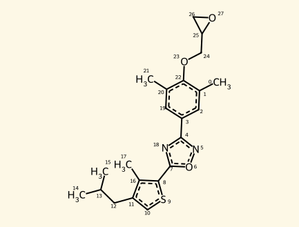 Cc1cc(-c2noc(-c3scc(CC(C)C)c3C)n2)cc(C)c1OCC1CO1